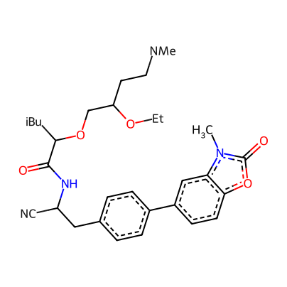 CCOC(CCNC)COC(C(=O)NC(C#N)Cc1ccc(-c2ccc3oc(=O)n(C)c3c2)cc1)C(C)CC